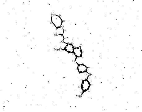 COc1cc2c(Oc3ccc(Nc4ccc(C(C)(C)C)cc4)cc3)ccnc2cc1OCC(O)CN1CCOCC1